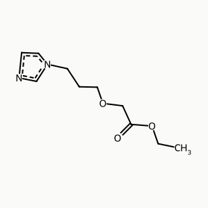 CCOC(=O)COCCCn1ccnc1